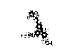 [13CH3][13CH2][18O]c1ccc(C(O)(c2ccc(CCC(=O)ON3C(=O)CCC3=O)cc2)c2ccc([18O][13CH2][13CH3])cc2)cc1